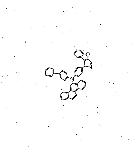 C1=NC(c2ccc(N(c3ccc(-c4ccccc4)cc3)c3cc4c5ccccc5ccc4c4ccccc34)cc2)c2c1oc1ccccc21